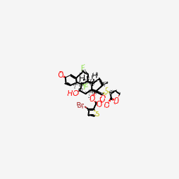 C[C@@H]1C[C@H]2[C@@H]3C[C@H](F)C4=CC(=O)C=C[C@]4(C)[C@@]3(F)[C@@H](O)C[C@]2(C)[C@@]1(OC(=O)c1sccc1Br)C(=O)S[C@H]1CCOC1=O